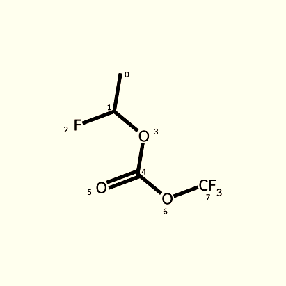 CC(F)OC(=O)OC(F)(F)F